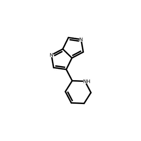 C1=CC(C2=CN=C3C=NC=C23)NCC1